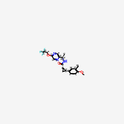 COc1ccc([C@H]2C[C@@H]2C(=O)N[C@H](C)c2cnc(OCC(F)(F)F)cn2)cc1C